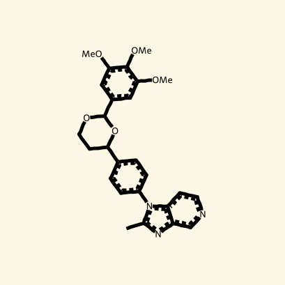 COc1cc(C2OCCC(c3ccc(-n4c(C)nc5cnccc54)cc3)O2)cc(OC)c1OC